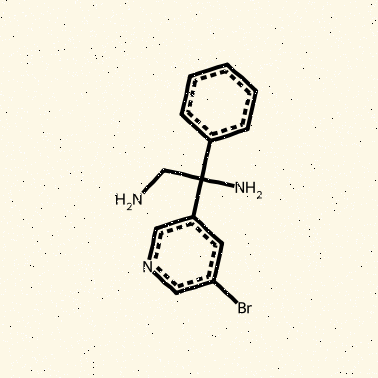 NCC(N)(c1ccccc1)c1cncc(Br)c1